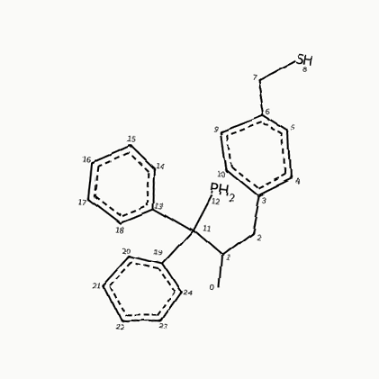 CC(Cc1ccc(CS)cc1)C(P)(c1ccccc1)c1ccccc1